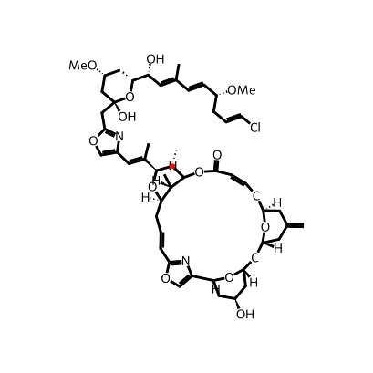 C=C1C[C@@H]2C[C@@H]3C[C@@H](O)C[C@@H](O3)c3coc(n3)/C=C/C[C@H]3O[C@@H](/C(C)=C/c4coc(C[C@]5(O)C[C@H](OC)C[C@H]([C@H](O)/C=C(C)/C=C/[C@@H](C/C=C/Cl)OC)O5)n4)[C@H](C)[C@@H](OC(=O)/C=C\C[C@@H](C1)O2)[C@H]3C